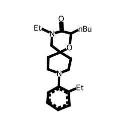 CCCCC1OC2(CCN(c3ccccc3CC)CC2)CN(CC)C1=O